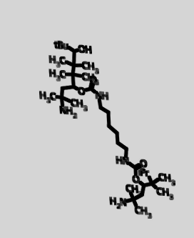 CC(C)C(C)(C)C(CC(C)(C)N)OC(=O)NCCCCCCNC(=O)OC(CC(C)(C)N)C(C)(C)C(C)(C)C(O)C(C)(C)C